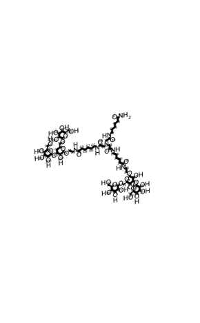 NC(=O)CCCCCNC(=O)CN(CC(=O)NCCCCCC(=O)NCCO[C@H]1O[C@H](CO[C@H]2O[C@H](CO)[C@@H](O)[C@H](O)[C@@H]2O)[C@@H](O)[C@H](O[C@H]2O[C@H](CO)[C@@H](O)[C@H](O)[C@@H]2O)[C@@H]1O)CC(=O)NCCCCCC(=O)NCCO[C@H]1O[C@H](CO[C@H]2O[C@H](CO)[C@@H](O)[C@H](O)[C@@H]2O)C[C@H](O[C@H]2O[C@H](CO)[C@@H](O)[C@H](O)[C@@H]2O)[C@@H]1O